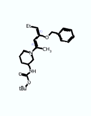 CC/C=C(\C=C(/C)N1CCCC(NC(=O)OC(C)(C)C)C1)OCc1ccccc1